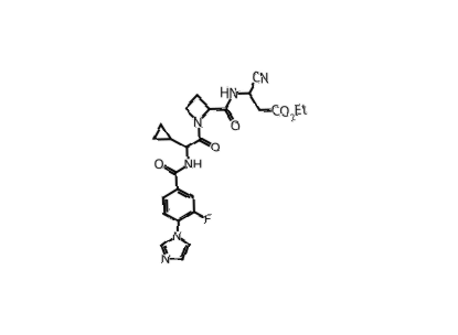 CCOC(=O)CC(C#N)NC(=O)C1CCN1C(=O)C(NC(=O)c1ccc(-n2ccnc2)c(F)c1)C1CC1